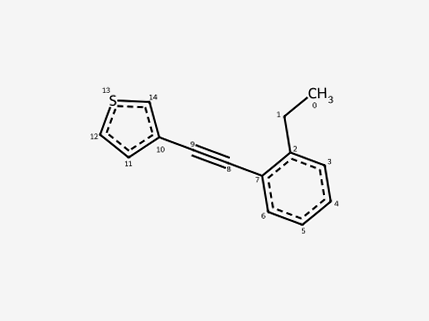 CCc1ccccc1C#Cc1ccsc1